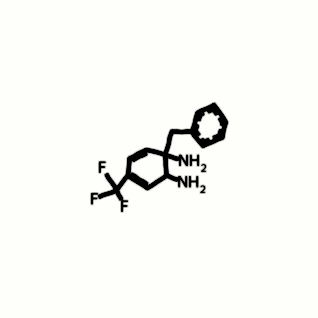 NC1C=C(C(F)(F)F)C=CC1(N)Cc1ccccc1